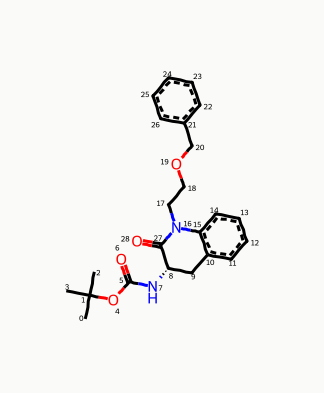 CC(C)(C)OC(=O)N[C@H]1Cc2ccccc2N(CCOCc2ccccc2)C1=O